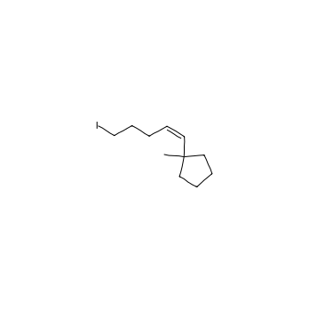 CC1(/C=C\CCCI)CCCC1